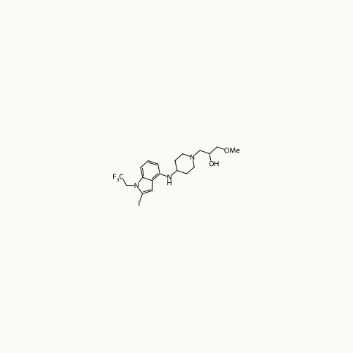 COCC(O)CN1CCC(Nc2cccc3c2cc(I)n3CC(F)(F)F)CC1